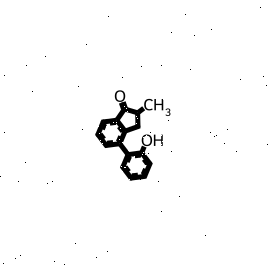 CC1Cc2c(cccc2-c2ccccc2O)C1=O